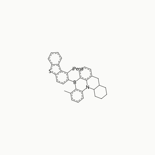 CCCC(C)c1c(B2c3cccc4c3N(c3cccc(C)c32)C2CCCCC2C4)ccc2sc3ccccc3c12